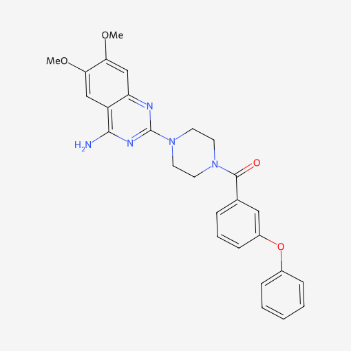 COc1cc2nc(N3CCN(C(=O)c4cccc(Oc5ccccc5)c4)CC3)nc(N)c2cc1OC